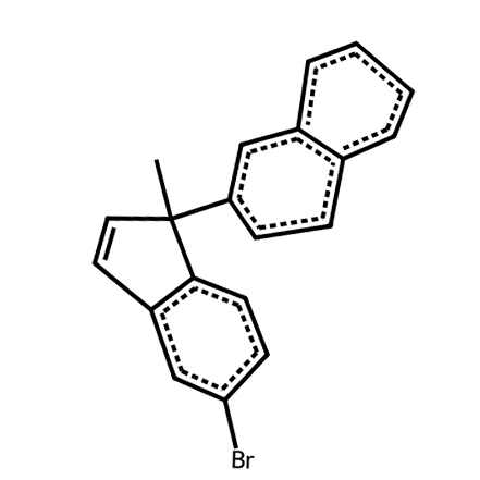 CC1(c2ccc3ccccc3c2)C=Cc2cc(Br)ccc21